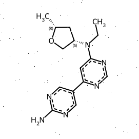 CCN(c1cc(-c2cnc(N)nc2)ncn1)[C@@H]1CO[C@H](C)C1